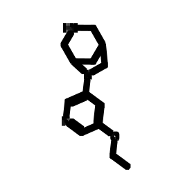 CCOc1cncc(N2CC3CNCC2C3)c1